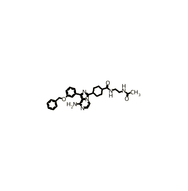 CC(=O)NCCNC(=O)C1CCC(c2nc(-c3cccc(OCc4ccccc4)c3)c3c(N)nccn23)CC1